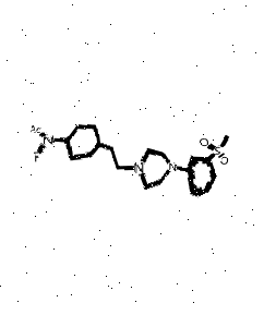 CC(=O)N(F)C1CCC(CCN2CCN(c3cccc(S(C)(=O)=O)c3)CC2)CC1